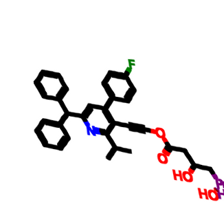 CC(C)c1nc(C(c2ccccc2)c2ccccc2)cc(-c2ccc(F)cc2)c1C#COC(=O)CC(O)C[PH](=O)O